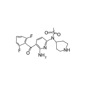 CS(=O)(=O)N(c1ccc(C(=O)c2c(F)cccc2F)c(N)n1)C1CCNCC1